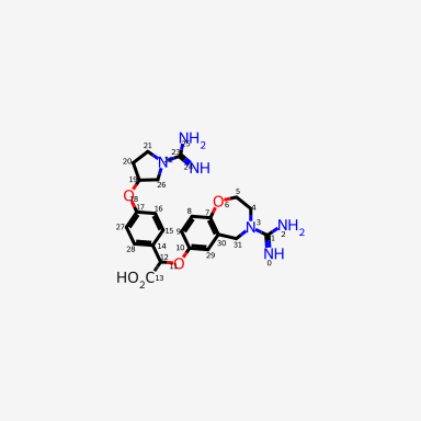 N=C(N)N1CCOc2ccc(OC(C(=O)O)c3ccc(OC4CCN(C(=N)N)C4)cc3)cc2C1